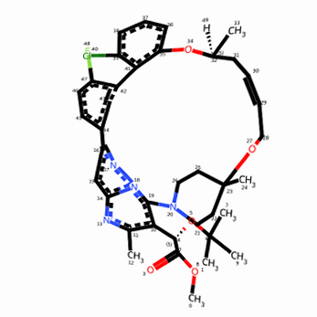 COC(=O)[C@@H](OC(C)(C)C)c1c(C)nc2cc3nn2c1N1CCC(C)(CC1)OCC=CC[C@H](C)Oc1cccc(Cl)c1-c1cc-3ccc1F